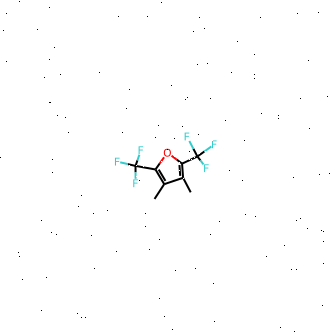 Cc1c(C(F)(F)F)oc(C(F)(F)F)c1C